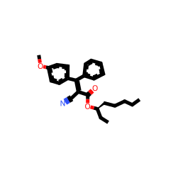 CCCCC[C@@H](CC)OC(=O)C(C#N)=C(c1ccccc1)c1ccc(OC)cc1